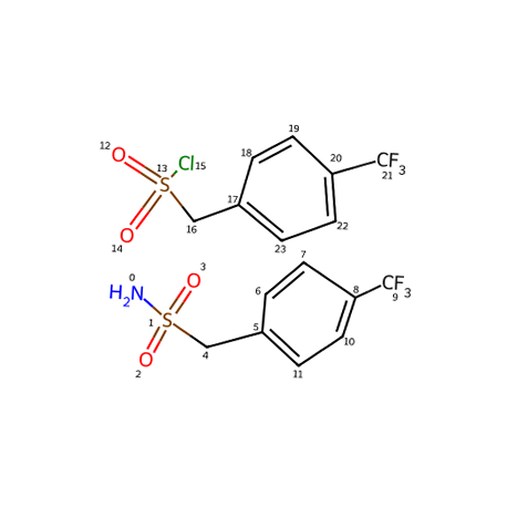 NS(=O)(=O)Cc1ccc(C(F)(F)F)cc1.O=S(=O)(Cl)Cc1ccc(C(F)(F)F)cc1